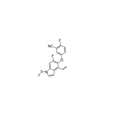 C=Cc1c(Oc2ccc(F)c(C#N)c2)c(F)cc2c1ccn2SI